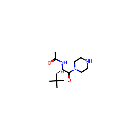 CC(=O)N[C@@H](CC(C)(C)C)C(=O)N1CCNCC1